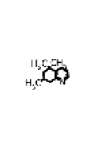 CC1Cc2ncccc2C(C)(C)C1